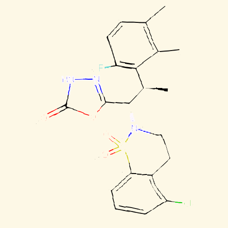 Cc1ccc(F)c([C@@H](C)[C@@H](c2n[nH]c(=O)o2)N2CCc3c(Cl)cccc3S2(=O)=O)c1C